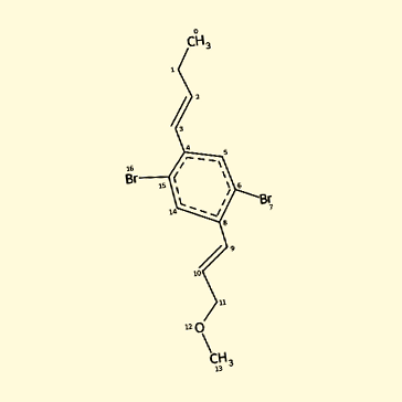 CC/C=C/c1cc(Br)c(/C=C/COC)cc1Br